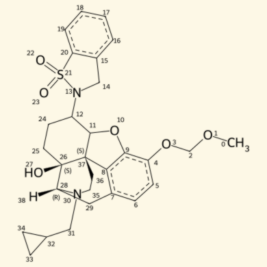 COCOc1ccc2c3c1OC1C(N4Cc5ccccc5S4(=O)=O)CC[C@@]4(O)[C@@H](C2)N(CC2CC2)CC[C@]314